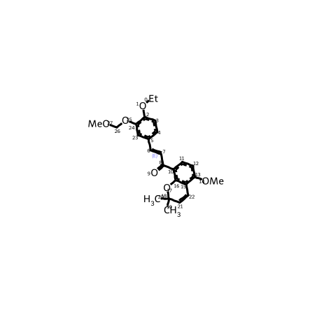 CCOc1ccc(/C=C/C(=O)c2ccc(OC)c3c2OC(C)(C)C=C3)cc1OCOC